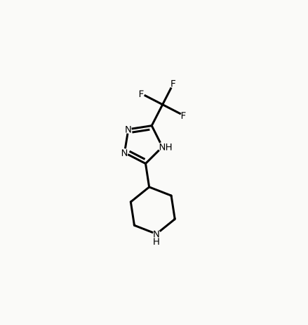 FC(F)(F)c1nnc(C2CCNCC2)[nH]1